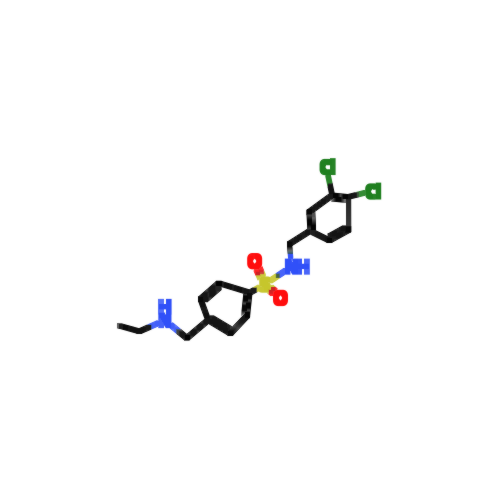 CCNCc1ccc(S(=O)(=O)NCc2ccc(Cl)c(Cl)c2)cc1